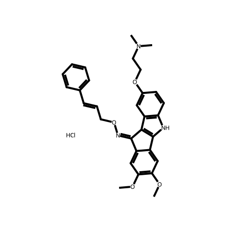 COc1cc2c(cc1OC)-c1[nH]c3ccc(OCCN(C)C)cc3c1C2=NOCC=Cc1ccccc1.Cl